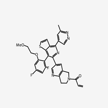 C=CC(=O)N1CCc2ncc(-c3nc(-c4cnnc(C)c4)c4ccsc4c3-c3c(F)cc(F)cc3OCCOC)cc2C1